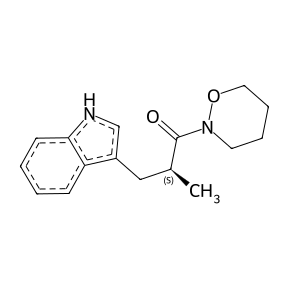 C[C@@H](Cc1c[nH]c2ccccc12)C(=O)N1CCCCO1